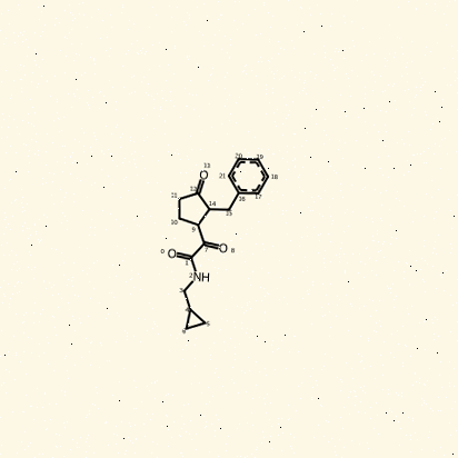 O=C(NCC1CC1)C(=O)C1CCC(=O)C1Cc1ccccc1